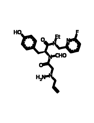 C=CCN(N)CC(=O)N(C=O)[C@@H](Cc1ccc(O)cc1)C(=O)N(CC)Cc1cccc(F)n1